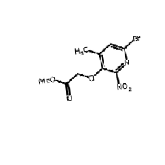 COC(=O)COc1c(C)cc(Br)nc1[N+](=O)[O-]